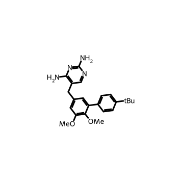 COc1cc(Cc2cnc(N)nc2N)cc(-c2ccc(C(C)(C)C)cc2)c1OC